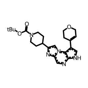 CC(C)(C)OC(=O)N1CCC(c2cn3c(cnc4[nH]cc(C5=CCOCC5)c43)n2)CC1